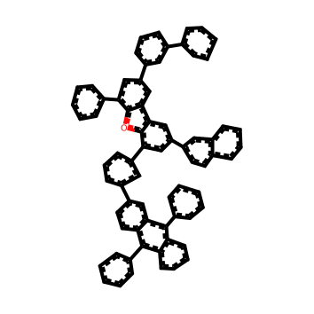 c1ccc(-c2cccc(-c3cc(-c4ccccc4)c4oc5c(-c6cccc(-c7ccc8c(-c9ccccc9)c9ccccc9c(-c9ccccc9)c8c7)c6)cc(-c6ccc7ccccc7c6)cc5c4c3)c2)cc1